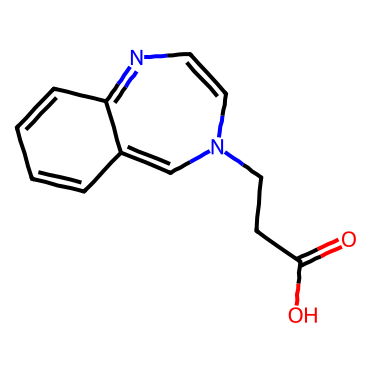 O=C(O)CCN1C=CN=c2ccccc2=C1